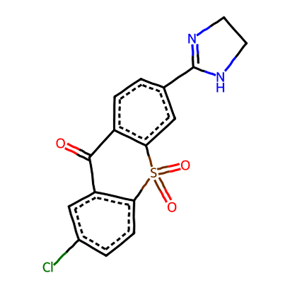 O=C1c2cc(Cl)ccc2S(=O)(=O)c2cc(C3=NCCN3)ccc21